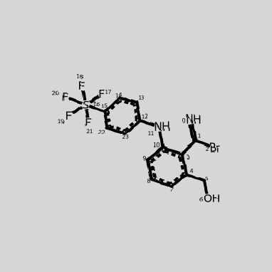 N=C(Br)c1c(CO)cccc1Nc1ccc(S(F)(F)(F)(F)F)cc1